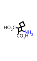 NC1C(C(=O)O)C(C(=O)O)C12CCC2